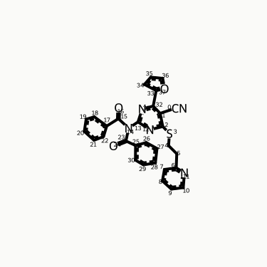 N#Cc1c(SCCc2ccccn2)nc(N(C(=O)c2ccccc2)C(=O)c2ccccc2)nc1-c1ccco1